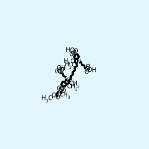 CCOC(=O)CN(C)S(=O)(=O)c1ccc2c(c1)C(C)(C)C(/C=C/C=C/C=C/C=C1/N(CCCCS(=O)(=O)O)c3ccc(S(=O)(=O)O)cc3C1(C)C)=[N+]2CCCCS(=O)(=O)O